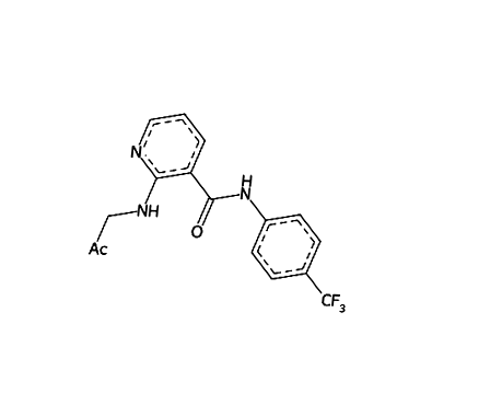 CC(=O)CNc1ncccc1C(=O)Nc1ccc(C(F)(F)F)cc1